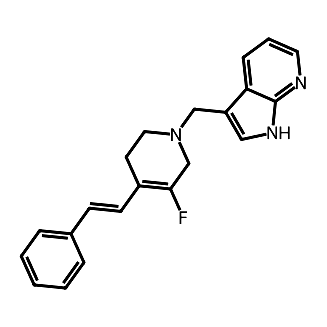 FC1=C(/C=C/c2ccccc2)CCN(Cc2c[nH]c3ncccc23)C1